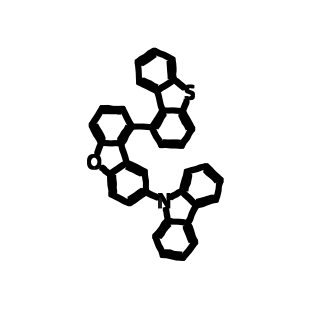 c1cc(-c2cccc3sc4ccccc4c23)c2c(c1)oc1ccc(-n3c4ccccc4c4ccccc43)cc12